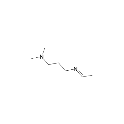 CC=NCCCN(C)C